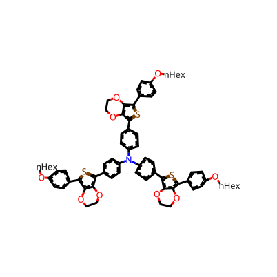 CCCCCCOc1ccc(-c2sc(-c3ccc(N(c4ccc(-c5sc(-c6ccc(OCCCCCC)cc6)c6c5OCCO6)cc4)c4ccc(-c5sc(-c6ccc(OCCCCCC)cc6)c6c5OCCO6)cc4)cc3)c3c2OCCO3)cc1